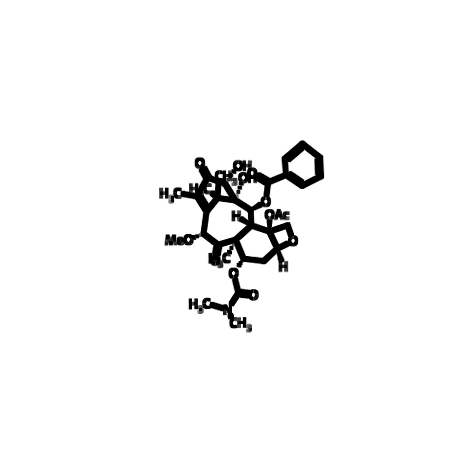 CO[C@H]1C(=O)[C@]2(C)[C@@H](OC(=O)N(C)C)C[C@H]3OC[C@@]3(OC(C)=O)[C@H]2[C@H](OC(=O)c2ccccc2)[C@]2(O)[C@@H](O)C(=O)C(C)=C1C2(C)C